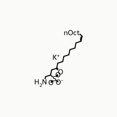 CCCCCCCC/C=C\CCCCCCCC(=O)CC(CN)S(=O)(=O)[O-].[K+]